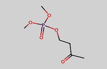 COP(=O)(OC)OCCC(C)=O